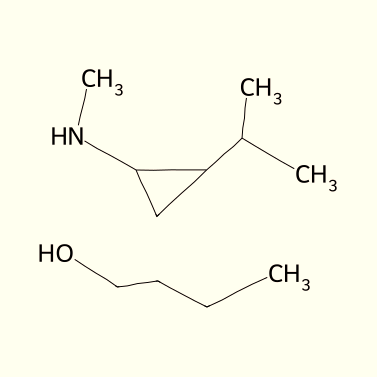 CCCCO.CNC1CC1C(C)C